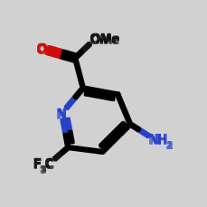 COC(=O)c1cc(N)cc(C(F)(F)F)n1